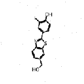 OCc1ccc2nc(-c3ccc(O)c(I)c3)sc2c1